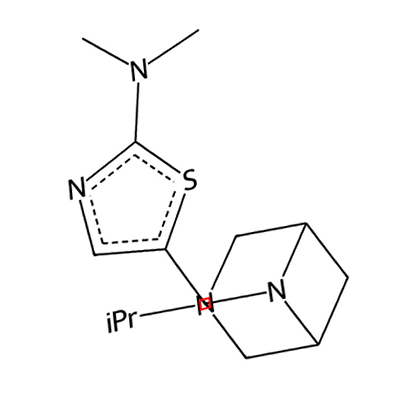 CC(C)N1CC2CC(C1)N2Cc1cnc(N(C)C)s1